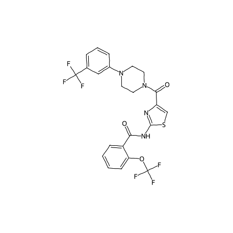 O=C(Nc1nc(C(=O)N2CCN(c3cccc(C(F)(F)F)c3)CC2)cs1)c1ccccc1OC(F)(F)F